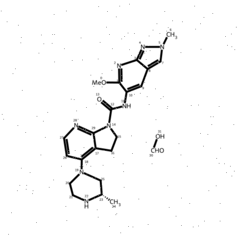 COc1nc2nn(C)cc2cc1NC(=O)N1CCc2c(N3CCN[C@@H](C)C3)ccnc21.O=CO